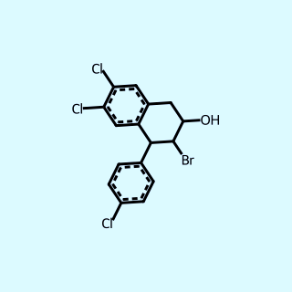 OC1Cc2cc(Cl)c(Cl)cc2C(c2ccc(Cl)cc2)C1Br